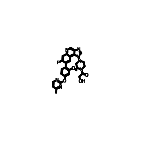 COc1cc(Oc2nccc(C)n2)ccc1-c1cc2c(cc1F)ncc1ncn(N3CCN(C(=O)CO)CC3)c12